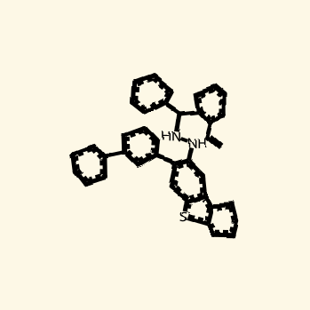 C=Cc1ccccc1C(NNc1cc2c(cc1-c1cccc(-c3ccccc3)c1)sc1ccccc12)c1ccccc1